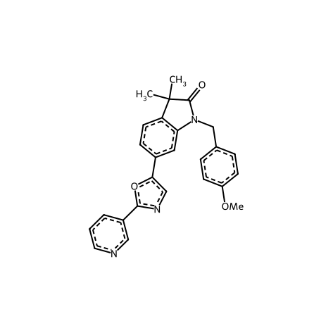 COc1ccc(CN2C(=O)C(C)(C)c3ccc(-c4cnc(-c5cccnc5)o4)cc32)cc1